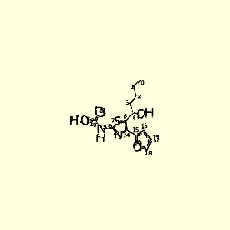 CCCCC(O)c1sc(NC(=O)O)nc1-c1ccco1